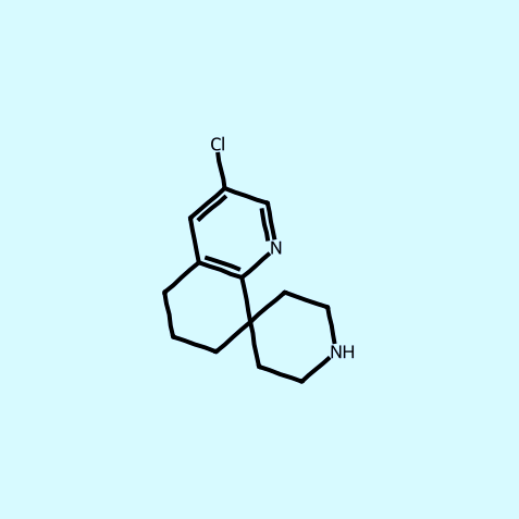 Clc1cnc2c(c1)CCCC21CCNCC1